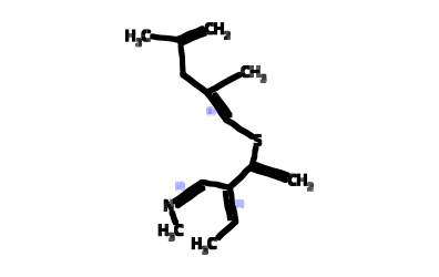 C=C(C)C/C(C)=C/SC(=C)C(/C=N\C)=C/C